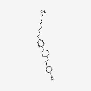 CCCCCCCCCc1cnc(C2CCC(COc3ccc(C#N)cc3)CC2)nc1